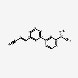 CC(C)c1cccc(-c2cccc(/C=C/C#N)c2)c1